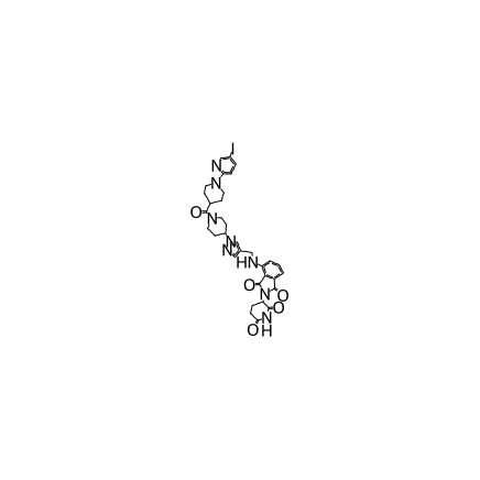 O=C1CCC(N2C(=O)c3cccc(NCc4cnn(C5CCN(C(=O)C6CCN(c7ccc(I)cn7)CC6)CC5)c4)c3C2=O)C(=O)N1